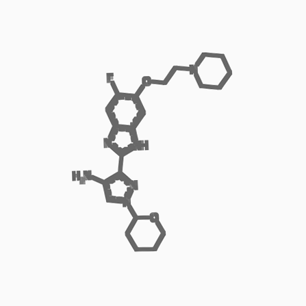 Nc1cn(C2CCCCO2)nc1-c1nc2cc(F)c(OCCN3CCCCC3)cc2[nH]1